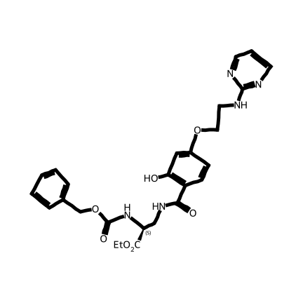 CCOC(=O)[C@H](CNC(=O)c1ccc(OCCNc2ncccn2)cc1O)NC(=O)OCc1ccccc1